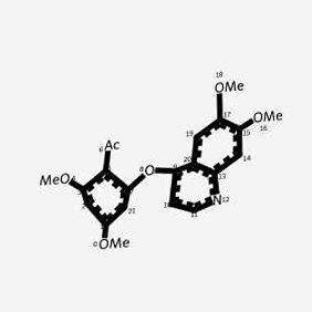 COc1cc(OC)c(C(C)=O)c(Oc2ccnc3cc(OC)c(OC)cc23)c1